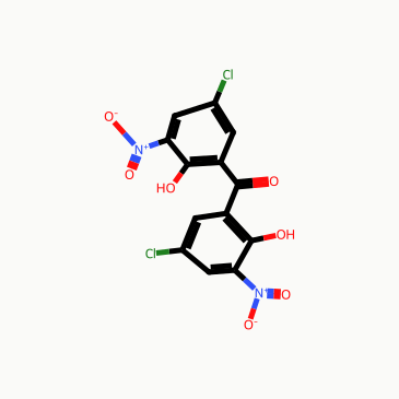 O=C(c1cc(Cl)cc([N+](=O)[O-])c1O)c1cc(Cl)cc([N+](=O)[O-])c1O